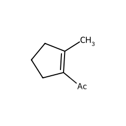 CC(=O)C1=C(C)CCC1